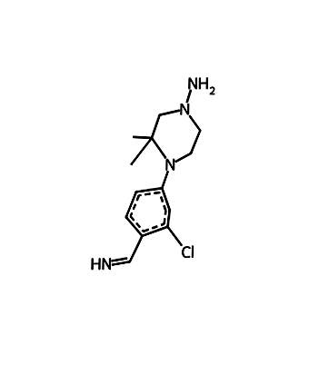 CC1(C)CN(N)CCN1c1ccc(C=N)c(Cl)c1